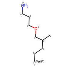 CCCCCCCC(C)COCCCN